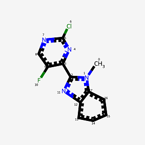 Cn1c(-c2nc(Cl)ncc2F)nc2ccccc21